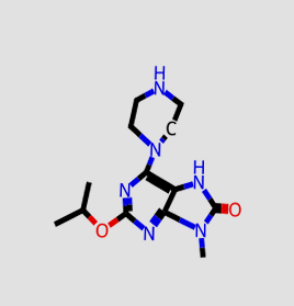 CC(C)Oc1nc(N2CCNCC2)c2[nH]c(=O)n(C)c2n1